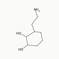 NCCC1CCCC(O)C1O